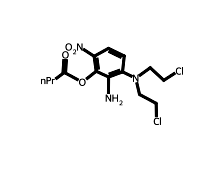 CCCC(=O)Oc1c([N+](=O)[O-])ccc(N(CCCl)CCCl)c1N